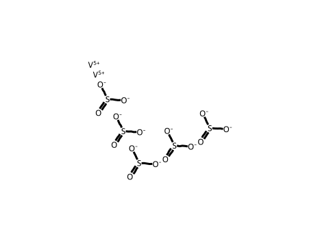 O=S([O-])[O-].O=S([O-])[O-].O=S([O-])[O-].O=S([O-])[O-].O=S([O-])[O-].[V+5].[V+5]